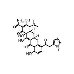 CN(C)[C@@H]1C(O)=C(C(N)=O)C(=O)[C@@]2(O)C(O)=C3C(=O)c4c(O)ccc(C(=O)Cc5cncn5C)c4C[C@H]3C[C@@H]12